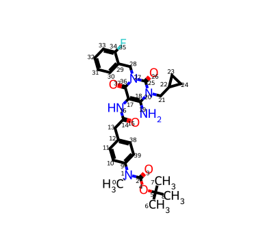 CN(C(=O)OC(C)(C)C)c1ccc(CC(=O)Nc2c(N)n(CC3CC3)c(=O)n(Cc3ccccc3F)c2=O)cc1